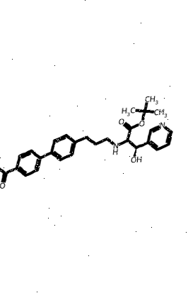 CC(C)(C)OC(=O)C(NCCCc1ccc(-c2ccc(C(=O)O)cc2)cc1)[C@H](O)c1cccnc1